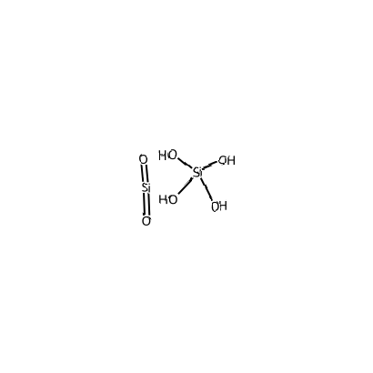 O=[Si]=O.O[Si](O)(O)O